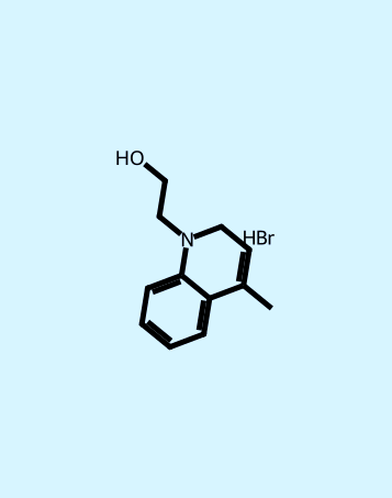 Br.CC1=CCN(CCO)c2ccccc21